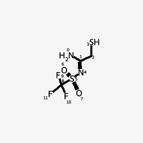 N/C(CS)=N\S(=O)(=O)C(F)(F)F